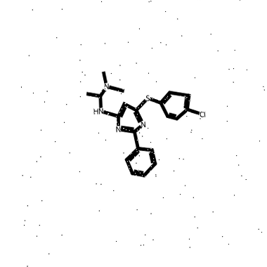 CC(Nc1cc(Sc2ccc(Cl)cc2)nc(-c2ccccc2)n1)N(C)C